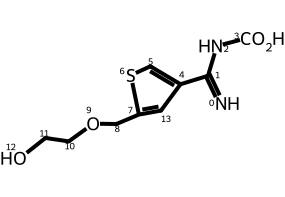 N=C(NC(=O)O)c1csc(COCCO)c1